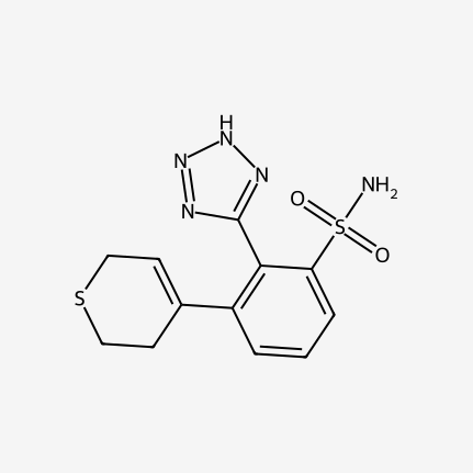 NS(=O)(=O)c1cccc(C2=CCSCC2)c1-c1nn[nH]n1